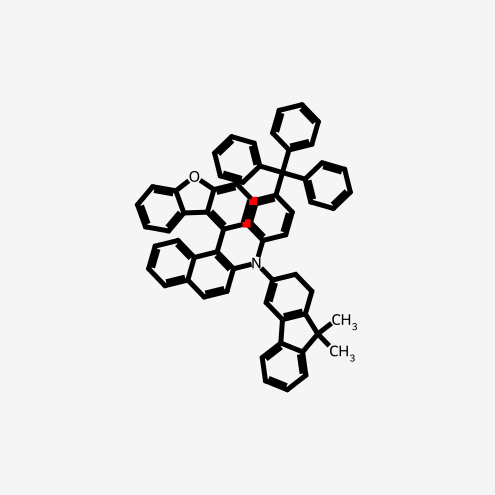 CC1(C)C2=C(C=C(N(c3ccc(C(c4ccccc4)(c4ccccc4)c4ccccc4)cc3)c3ccc4ccccc4c3-c3c#ccc4oc5ccccc5c34)CC2)c2ccccc21